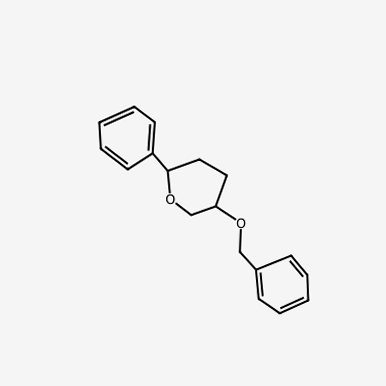 c1ccc(COC2CCC(c3ccccc3)OC2)cc1